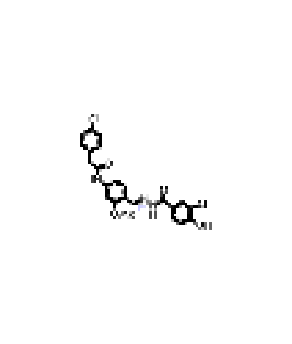 COc1cc(NC(=O)Cc2ccc(Cl)cc2)ccc1/C=N/NC(=O)c1ccc(O)c(Cl)c1